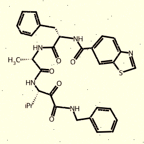 CC(C)[C@H](NC(=O)[C@H](C)NC(=O)[C@H](Cc1ccccc1)NC(=O)c1ccc2ncsc2c1)C(=O)C(=O)NCc1ccccc1